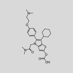 CN(C)CCOc1ccc(-c2c(C3CCCCC3)c3sc(OC(=O)O)cc3n2CC(=O)N(C)C)cc1